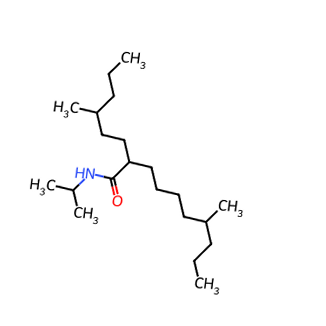 CCCC(C)CCCCC(CCC(C)CCC)C(=O)NC(C)C